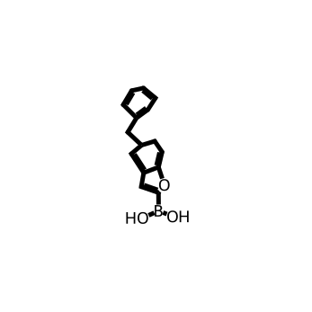 OB(O)c1cc2c(o1)=CCC(Cc1ccccc1)C=2